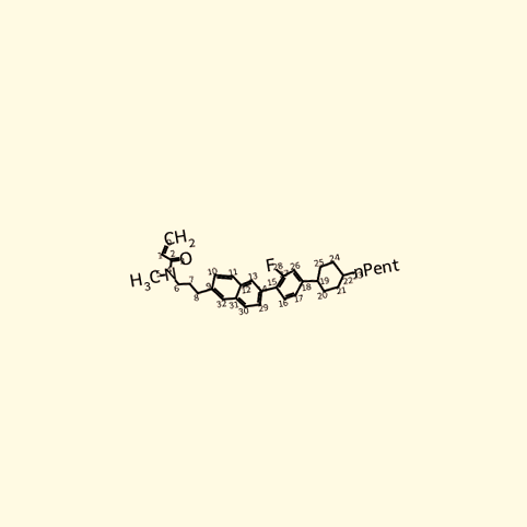 C=CC(=O)N(C)CCCc1ccc2cc(-c3ccc(C4CCC(CCCCC)CC4)cc3F)ccc2c1